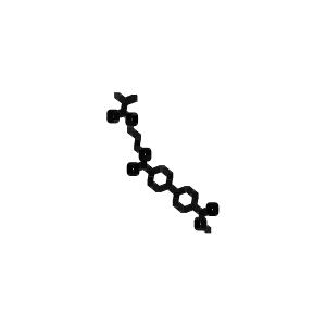 C=C(C)C(=O)OCCCOC(=O)C1CCC(C2CCC(C(=O)OC)CC2)CC1